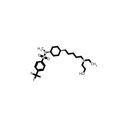 CCN(CCO)CCCCC[C@H]1CC[C@@H](N(C)S(=O)(=O)c2ccc(C(F)(F)F)cc2)CC1